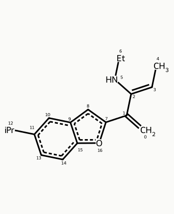 C=C(/C(=C/C)NCC)c1cc2cc(C(C)C)ccc2o1